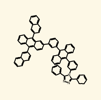 C1=CCCC(c2nnc(-c3ccccc3)n2-c2cccc(-c3c4ccccc4c(-c4cccc(-c5ccc6c(-c7ccc8ccccc8c7)c7ccccc7c(-c7ccc8ccccc8c7)c6c5)c4)c4ccccc34)c2)=C1